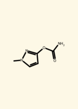 Cn1ccc(OC(N)=O)n1